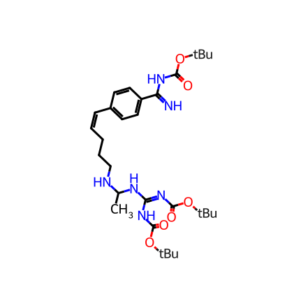 CC(NCCC/C=C\c1ccc(C(=N)NC(=O)OC(C)(C)C)cc1)N/C(=N/C(=O)OC(C)(C)C)NC(=O)OC(C)(C)C